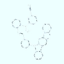 N#Cc1cccc(C(N)c2ccccc2/N=C/c2cccc(-n3c4ccccc4c4cc5oc6ccccc6c5cc43)c2)c1